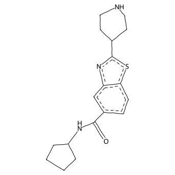 O=C(NC1CCCC1)c1ccc2sc(C3CCNCC3)nc2c1